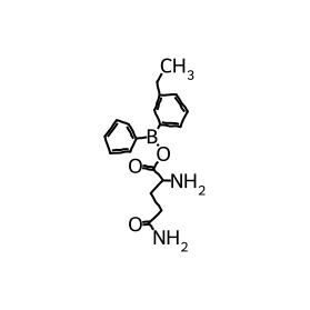 CCc1cccc(B(OC(=O)C(N)CCC(N)=O)c2ccccc2)c1